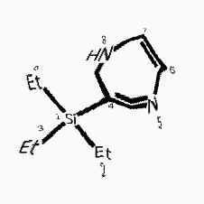 CC[Si](CC)(CC)c1ncc[nH]1